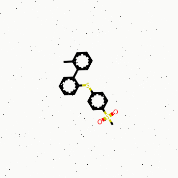 Cc1ccccc1-c1ccccc1Sc1ccc(S(C)(=O)=O)cc1